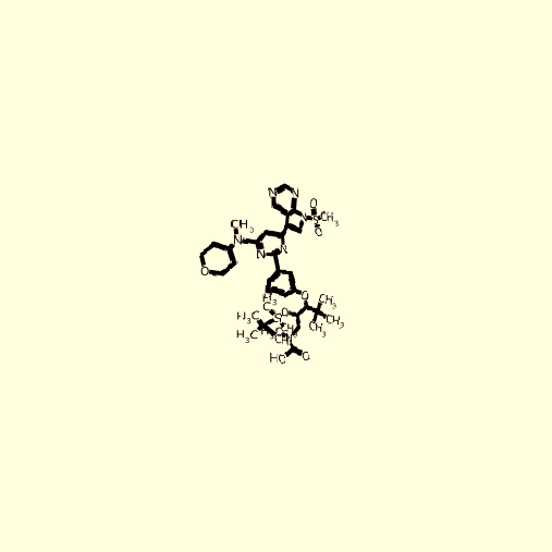 CN(CC(O[Si](C)(C)C(C)(C)C)C(Oc1cccc(-c2nc(-c3cn(S(C)(=O)=O)c4ncncc34)cc(N(C)C3CCOCC3)n2)c1)C(C)(C)C)C(=O)O